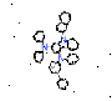 c1ccc(-c2cccc(N(c3ccccc3)c3cc(N(c4ccccc4)c4ccccc4)cc4c3c3ccccc3n4-c3ccc4ccccc4c3)c2)cc1